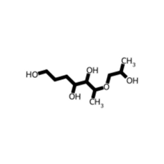 CC(O)COC(C)C(O)C(O)CCCO